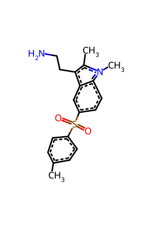 Cc1ccc(S(=O)(=O)c2ccc3c(c2)c(CCN)c(C)n3C)cc1